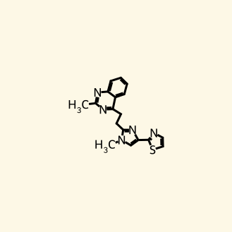 Cc1nc(CCc2nc(-c3nccs3)cn2C)c2ccccc2n1